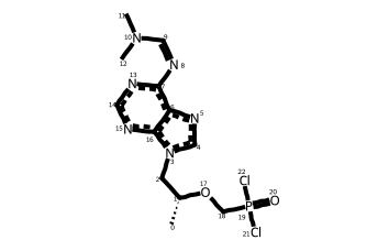 C[C@H](Cn1cnc2c(/N=C\N(C)C)ncnc21)OCP(=O)(Cl)Cl